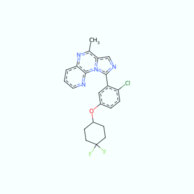 Cc1nc2cccnc2n2c(-c3cc(OC4CCC(F)(F)CC4)ccc3Cl)ncc12